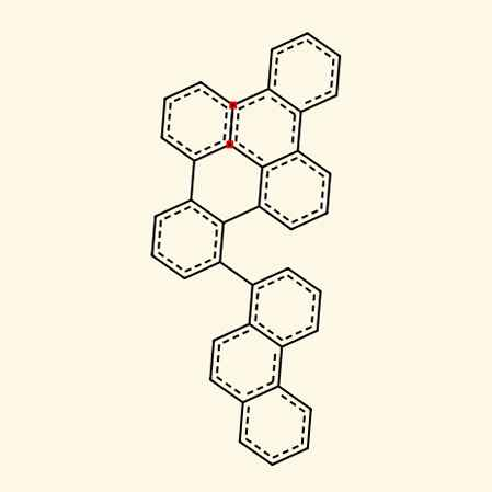 c1ccc(-c2cccc(-c3cccc4c3ccc3ccccc34)c2-c2cccc3c2ccc2ccccc23)cc1